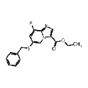 CCOC(=O)c1cnc2c(F)cc(SCc3ccccc3)cn12